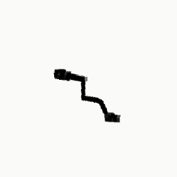 CC(C)(C)[CH]CCC(C)(C)C